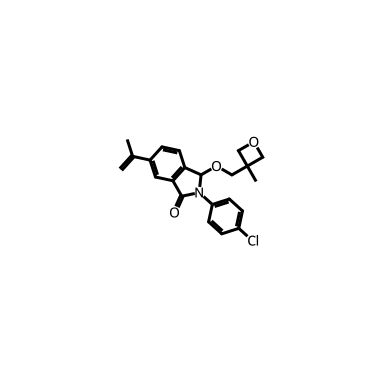 C=C(C)c1ccc2c(c1)C(=O)N(c1ccc(Cl)cc1)C2OCC1(C)COC1